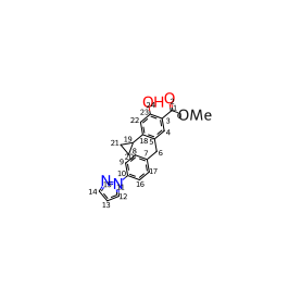 COC(=O)c1cc(Cc2ccc(-n3cccn3)cc2)c(C2CC2)cc1O